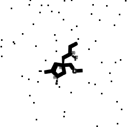 CC[C@H](F)C[C@]1(COC)C=C(C)[C@@H](C)C1